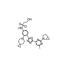 Cc1cc(-c2nnc(-c3ccc(NS(=O)(=O)CCO)cc3N3CCC4(CC3)CC4)o2)nc(N2CCC3CC32)n1